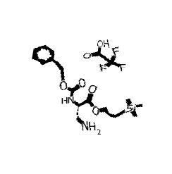 C[Si](C)(C)CCOC(=O)[C@H](CN)NC(=O)OCc1ccccc1.O=C(O)C(F)(F)F